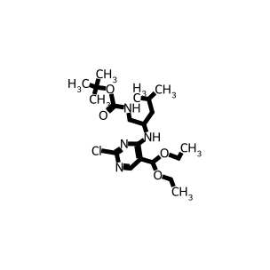 CCOC(OCC)c1cnc(Cl)nc1NC(CNC(=O)OC(C)(C)C)CC(C)C